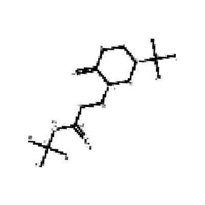 C=C1CC[C@@H](C(C)(C)C)C[C@H]1CCC(=O)OC(C)(C)C